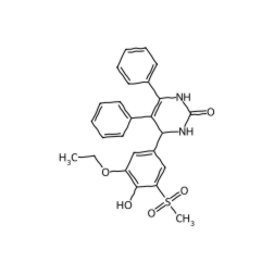 CCOc1cc(C2NC(=O)NC(c3ccccc3)=C2c2ccccc2)cc(S(C)(=O)=O)c1O